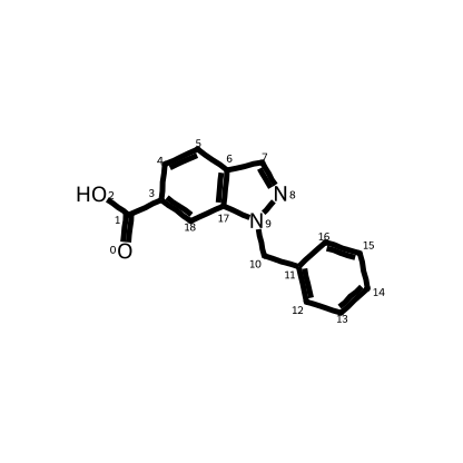 O=C(O)c1ccc2cnn(Cc3ccccc3)c2c1